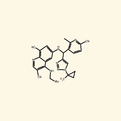 Cc1nc(C#N)ccc1C(Nc1cc(C#N)c2ncc(C#N)c(NCC(C)(C)C)c2c1)c1cn(C2(C(F)(F)F)CC2)nn1